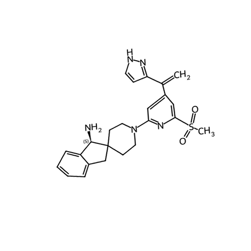 C=C(c1cc(N2CCC3(CC2)Cc2ccccc2[C@H]3N)nc(S(C)(=O)=O)c1)c1cc[nH]n1